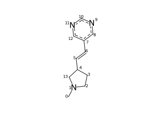 CN1CCC(/C=C/c2cncnc2)C1